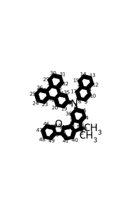 CC1(C)c2ccc(N(c3ccc4ccccc4c3)c3ccc4c5ccccc5c5ccccc5c4c3)cc2-c2c1ccc1c2oc2ccccc21